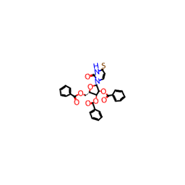 O=C(OC[C@@H]1O[C@@H](n2ccc(=S)[nH]c2=O)[C@@H](OC(=O)c2ccccc2)[C@H]1OC(=O)c1ccccc1)c1ccccc1